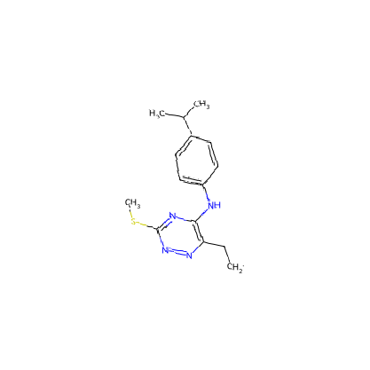 [CH2]Cc1nnc(SC)nc1Nc1ccc(C(C)C)cc1